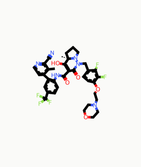 Cc1c(-c2cc(C(F)(F)F)ccc2NC(=O)C2=C(O)[C@@]3(C)CCCN3N(Cc3ccc(OCCN4CCOCC4)c(F)c3F)C2=O)ccnc1C#N